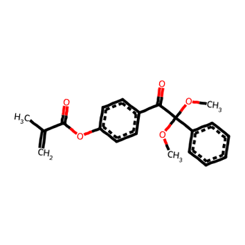 C=C(C)C(=O)Oc1ccc(C(=O)C(OC)(OC)c2ccccc2)cc1